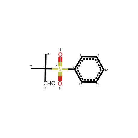 CC(C)(C=O)S(=O)(=O)c1ccccc1